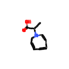 CC(C(=O)O)N1C=CC=CC=CC1